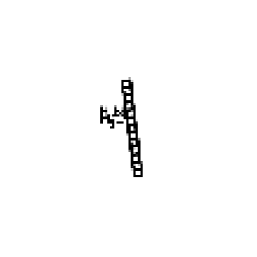 CC12C3C4C5C6C7C8C9CCC9C8C7C6C5C4C3C1C1C3C4C5CCC5C4C3C12N